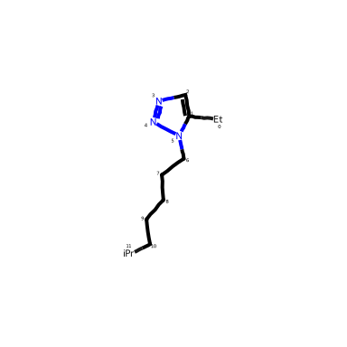 CCc1cnnn1CCCCCC(C)C